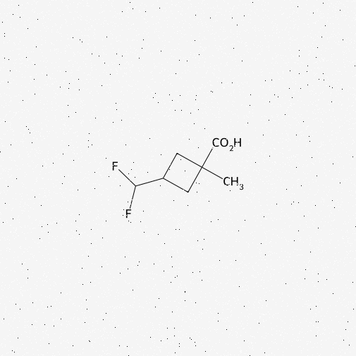 CC1(C(=O)O)CC(C(F)F)C1